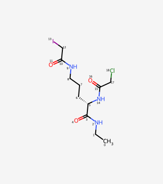 CCNC(=O)[C@H](CCCNC(=O)CI)NC(=O)CCl